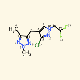 Cc1nn(C)nc1Cc1cn(CC(F)F)nc1Cl